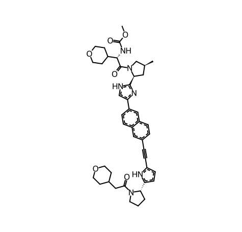 COC(=O)N[C@H](C(=O)N1C[C@@H](C)C[C@H]1c1nc(-c2ccc3cc(C#Cc4ccc([C@@H]5CCCN5C(=O)CC5CCOCC5)[nH]4)ccc3c2)c[nH]1)C1CCOCC1